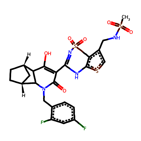 CS(=O)(=O)NCc1csc2c1S(=O)(=O)N=C(C1=C(O)C3C([C@@H]4CC[C@H]3C4)N(Cc3ccc(F)cc3F)C1=O)N2